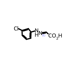 O=C(O)/C=N/Nc1cccc(Cl)c1